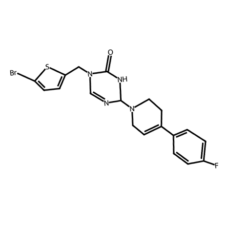 O=C1NC(N2CC=C(c3ccc(F)cc3)CC2)N=CN1Cc1ccc(Br)s1